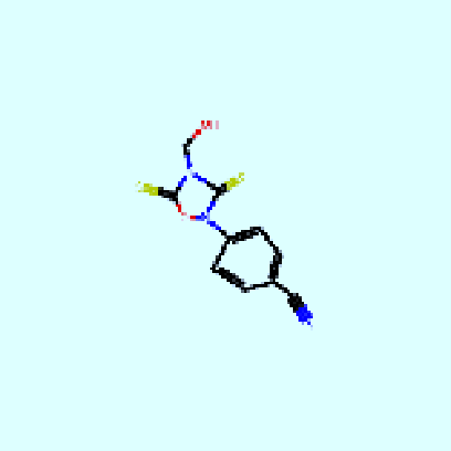 N#Cc1ccc(-n2oc(=S)n(CO)c2=S)cc1